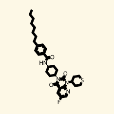 CCCCCCCCc1ccc(C(=O)N[C@H]2CC[C@@H](n3c(=O)c4cc(F)cnc4n(C4CCSCC4)c3=O)CC2)cc1